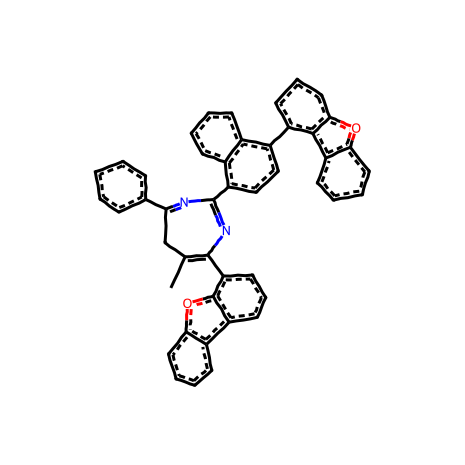 CC1=C(c2cccc3c2oc2ccccc23)N=C(c2ccc(-c3cccc4oc5ccccc5c34)c3ccccc23)N=C(c2ccccc2)C1